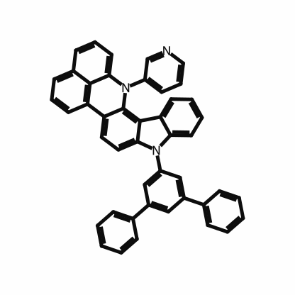 c1ccc(-c2cc(-c3ccccc3)cc(-n3c4ccccc4c4c5c(ccc43)-c3cccc4cccc(c34)N5c3cccnc3)c2)cc1